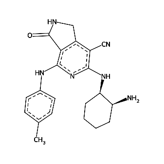 Cc1ccc(Nc2nc(N[C@@H]3CCCC[C@@H]3N)c(C#N)c3c2C(=O)NC3)cc1